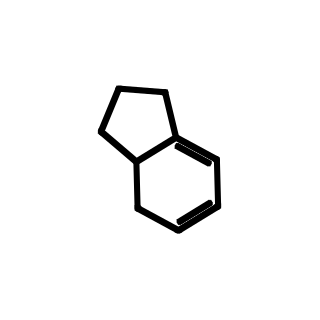 C1=CCC2CCCC2=C1